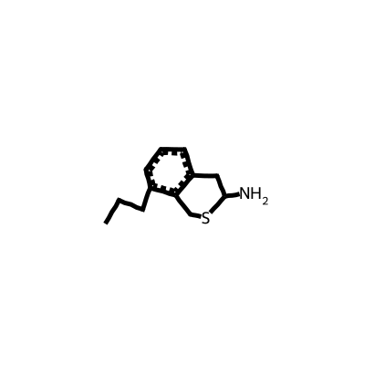 CCCc1cccc2c1CSC(N)C2